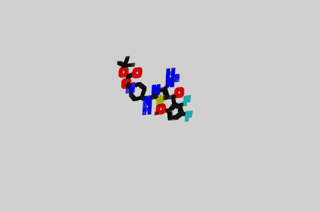 COc1ccc(F)c(F)c1C(=O)c1sc(NC2CCN(OC(=O)OC(C)(C)C)CC2)nc1N